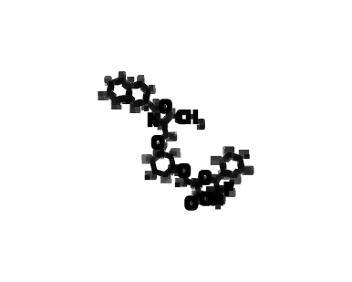 Cc1oc(-c2ccc3ccccc3c2)nc1CO[C@H]1CCC[C@@H](OC[C@@H](OC(c2ccccc2)C(F)(F)F)C(=O)O)C1